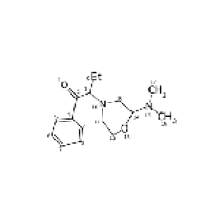 CCC(C(=O)c1ccccc1)N1CCOC(N(C)C)C1